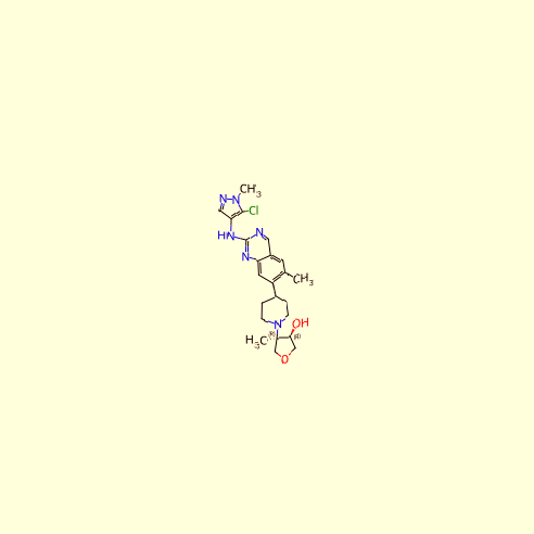 Cc1cc2cnc(Nc3cnn(C)c3Cl)nc2cc1C1CCN([C@]2(C)COC[C@@H]2O)CC1